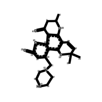 CC1CC(=O)c2c(c3c(c4c(CN5CCNCC5)cc(=O)oc24)OC(C)(C)C=C3)O1